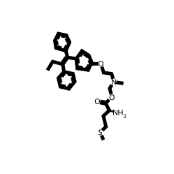 CC/C(=C(\c1ccccc1)c1ccc(OCCN(C)COC(=O)[C@@H](N)CCSC)cc1)c1ccccc1